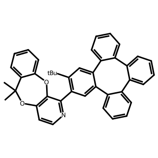 CC(C)(C)c1cc2c(cc1-c1nccc3c1Oc1ccccc1C(C)(C)O3)-c1ccccc1-c1ccccc1-c1ccccc1-2